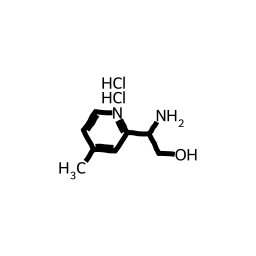 Cc1ccnc(C(N)CO)c1.Cl.Cl